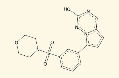 O=S(=O)(c1cccc(-c2ccc3cnc(O)nn23)c1)N1CCOCC1